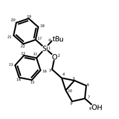 CC(C)(C)[Si](OCC1C2CC(O)CC12)(c1ccccc1)c1ccccc1